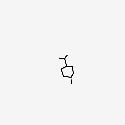 CC(C)C1[CH]C[C@@H](C)CC1